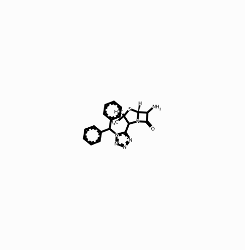 CC1(C)S[C@@H]2C(N)C(=O)N2C1c1nnnn1C(c1ccccc1)c1ccccc1